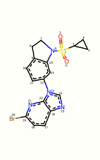 O=S(=O)(C1CC1)N1CCc2ccc(-n3cnc4ccc(Br)nc43)cc21